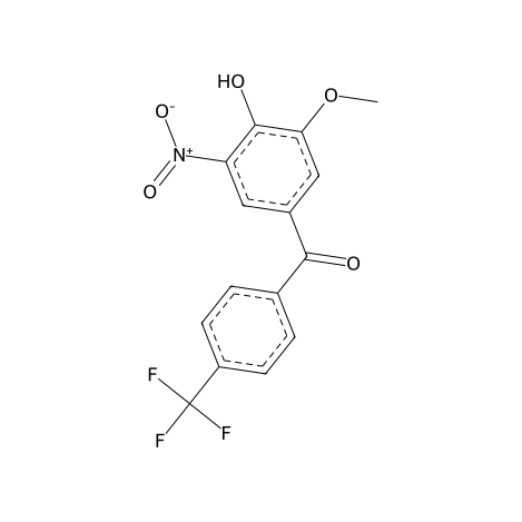 COc1cc(C(=O)c2ccc(C(F)(F)F)cc2)cc([N+](=O)[O-])c1O